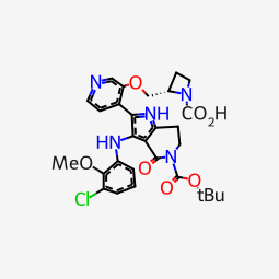 COc1c(Cl)cccc1Nc1c(-c2ccncc2OC[C@@H]2CCN2C(=O)O)[nH]c2c1C(=O)N(C(=O)OC(C)(C)C)CC2